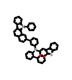 c1ccc(-c2ccccc2N(c2cccc(-c3ccc4ccc5c6ccccc6n(-c6ccccc6)c5c4c3)c2)c2ccc3sc4ccccc4c3c2)cc1